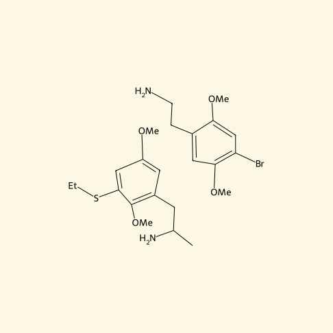 CCSc1cc(OC)cc(CC(C)N)c1OC.COc1cc(CCN)c(OC)cc1Br